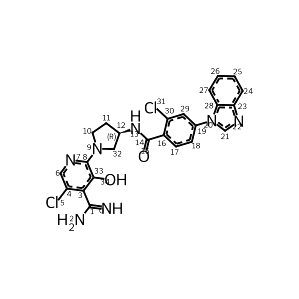 N=C(N)c1c(Cl)cnc(N2CC[C@@H](NC(=O)c3ccc(-n4cnc5ccccc54)cc3Cl)C2)c1O